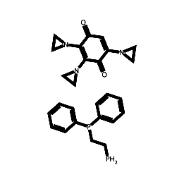 O=C1C=C(N2CC2)C(=O)C(N2CC2)=C1N1CC1.PCCP(c1ccccc1)c1ccccc1